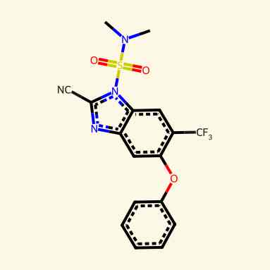 CN(C)S(=O)(=O)n1c(C#N)nc2cc(Oc3ccccc3)c(C(F)(F)F)cc21